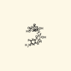 CC1(O)[C@@H](O)[C@@](F)(COP(=O)(O)OP(=O)(O)OP(=O)(O)O)O[C@H]1n1cc(F)c(N)nc1=S